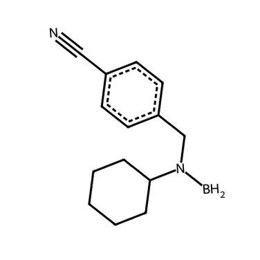 BN(Cc1ccc(C#N)cc1)C1CCCCC1